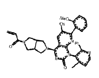 C=CC(=O)N1CC2CN(c3nc(=O)n(-c4c(C)ccnc4C(C)C)c4nc(-c5ccccc5OC)c(C#N)cc34)CC2C1